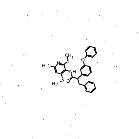 CSc1cc(C)nc(SC)c1NC(=O)C(Cc1ccccc1)c1cccc(Oc2ccccc2)c1